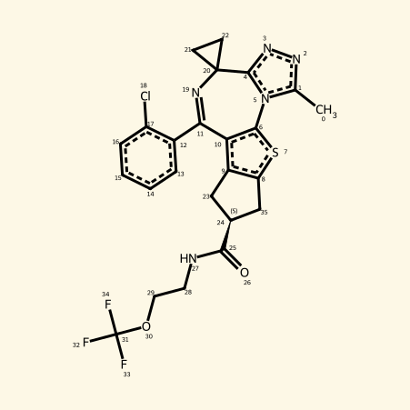 Cc1nnc2n1-c1sc3c(c1C(c1ccccc1Cl)=NC21CC1)C[C@H](C(=O)NCCOC(F)(F)F)C3